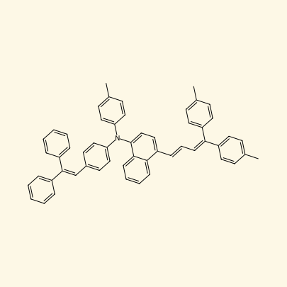 Cc1ccc(C(=C/C=C/c2ccc(N(c3ccc(C)cc3)c3ccc(C=C(c4ccccc4)c4ccccc4)cc3)c3ccccc23)c2ccc(C)cc2)cc1